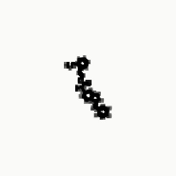 Cc1ccccc1CCOC(=O)Nc1ccc2c(c1)CCN2Cc1ccccc1